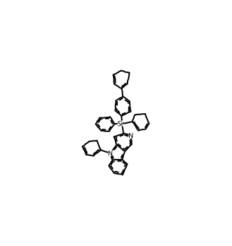 C1=CCCC(n2c3ccccc3c3cnc([Si](C4=CC=CCC4)(c4ccccc4)c4ccc(C5=CCCC=C5)cc4)cc32)=C1